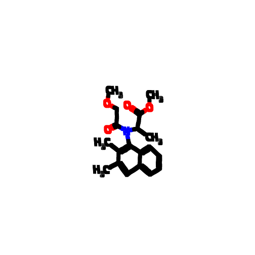 COCC(=O)N(c1c(C)c(C)cc2ccccc12)C(C)C(=O)OC